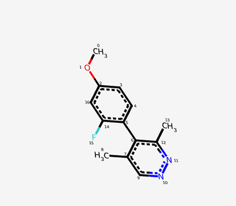 COc1ccc(-c2c(C)cnnc2C)c(F)c1